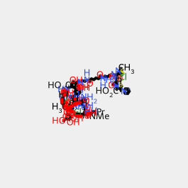 CN[C@H](CC(C)C)C(=O)NC1C(=O)N[C@@H](CC(N)=O)C(=O)N[C@H]2C(=O)N[C@H]3C(=O)N[C@H](C(=O)N[C@H](C(=O)O)c4cc(O)c(CNCCNC(=O)CCCCC(=O)NCCCO/N=C(\C(=O)N[C@@H]5C(=O)N6C(C(=O)O)=C(C[n+]7ccccc7)CS[C@H]56)c5nc(C)sc5Cl)c(O)c4-c4cc3ccc4O)[C@H](O)c3ccc(c(Cl)c3)Oc3cc2cc(c3O[C@@H]2O[C@H](CO)[C@@H](O)[C@H](O)[C@H]2O[C@H]2C[C@](C)(N)[C@H](O)[C@H](C)O2)Oc2ccc(cc2Cl)[C@H]1O